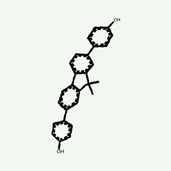 CC1(C)c2cc(-c3ccc(O)cc3)ccc2-c2ccc(-c3ccc(O)cc3)cc21